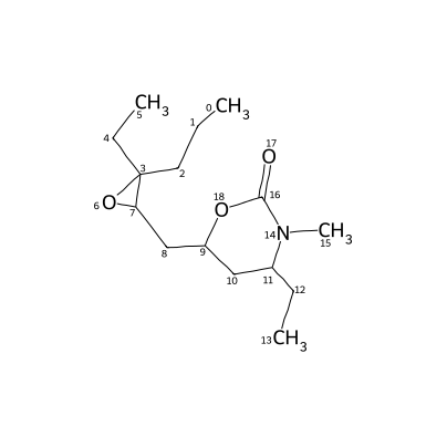 CCCC1(CC)OC1CC1CC(CC)N(C)C(=O)O1